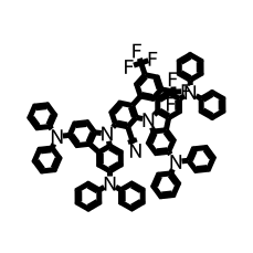 N#Cc1c(-n2c3ccc(N(c4ccccc4)c4ccccc4)cc3c3cc(N(c4ccccc4)c4ccccc4)ccc32)ccc(-c2cc(C(F)(F)F)cc(C(F)(F)F)c2)c1-n1c2ccc(N(c3ccccc3)c3ccccc3)cc2c2cc(N(c3ccccc3)c3ccccc3)ccc21